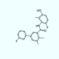 Cc1cc(-c2cccc(F)c2)cc(C(=O)Nc2c(F)ccc(O)c2C)c1C